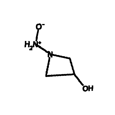 [O-][NH2+]N1CC(O)C1